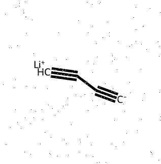 [C-]#CC#C.[Li+]